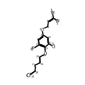 Fc1cc(OCC=C(Br)Br)cc(Cl)c1OCCCCCl